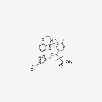 Cc1ccc(C(OCc2cn(C3COC3)nn2)C(C)(C)C(=O)O)cc1CN1C[C@@H](C)Oc2ccccc2S1(=O)=O